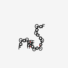 CC(C)(Oc1ccc(-c2ccc(Oc3ccc(C(=O)c4ccc(F)cc4)cc3)cc2)cc1)c1ccc(C(=O)c2ccc(Oc3ccc(C(c4ccc(Oc5ccc(C(=O)c6ccc(F)cc6)cc5)cc4)(C(F)(F)F)C(F)(F)F)cc3)cc2)cc1